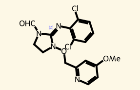 COc1ccnc(CON2CCN(C=O)/C2=N/c2c(Cl)cccc2Cl)c1